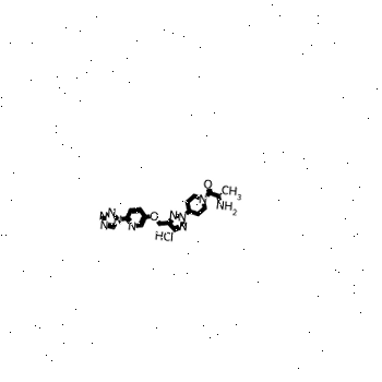 C[C@H](N)C(=O)N1CCC(n2ncc(COc3ccc(-n4cnnn4)nc3)n2)CC1.Cl